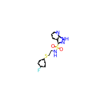 O=S(=O)(NCCSc1ccc(F)cc1)c1n[nH]c2ncccc12